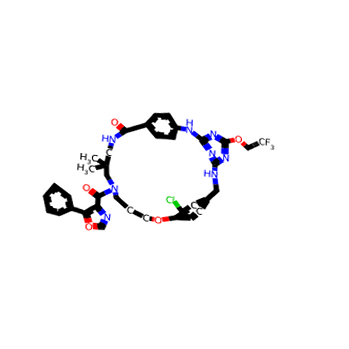 CC1(C)CNC(=O)c2ccc(cc2)Nc2nc(nc(OCC(F)(F)F)n2)NCc2ccc(c(Cl)c2)OCCCN(C(=O)c2ncoc2-c2ccccc2)C1